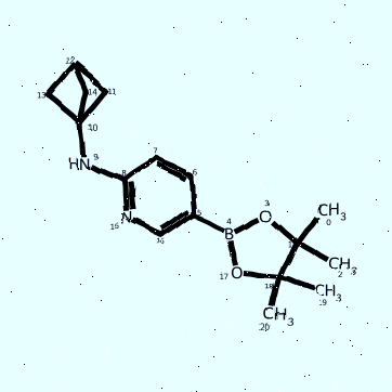 CC1(C)OB(c2ccc(NC34CC(C3)C4)nc2)OC1(C)C